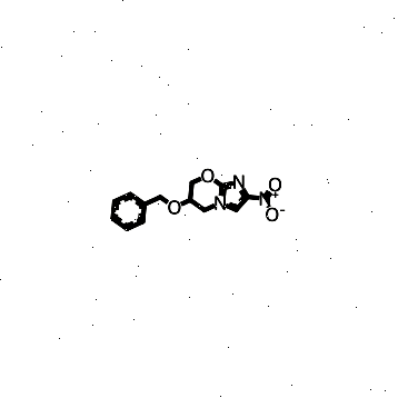 O=[N+]([O-])c1cn2c(n1)OCC(OCc1ccccc1)C2